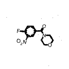 O=C(c1ccc(F)c([N+](=O)[O-])c1)N1CCOCC1